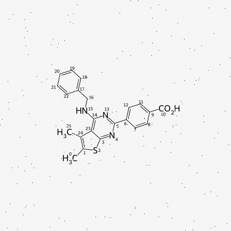 Cc1sc2nc(-c3ccc(C(=O)O)cc3)nc(NCc3ccccc3)c2c1C